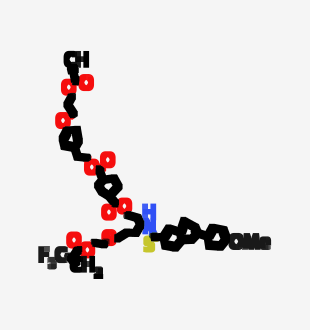 C#CC(=O)OCCCOc1ccc(CCOC(=O)C2CCC(C(=O)OCCC(CCCOCCOC(=O)C(=C)C(F)(F)F)NC(=S)c3ccc4cc(-c5ccc(OC)cc5)ccc4c3)CC2)cc1